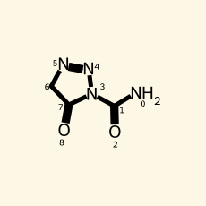 NC(=O)N1N=NCC1=O